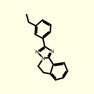 CCc1cccc(-c2nc3n(n2)CCc2ccccc2-3)c1